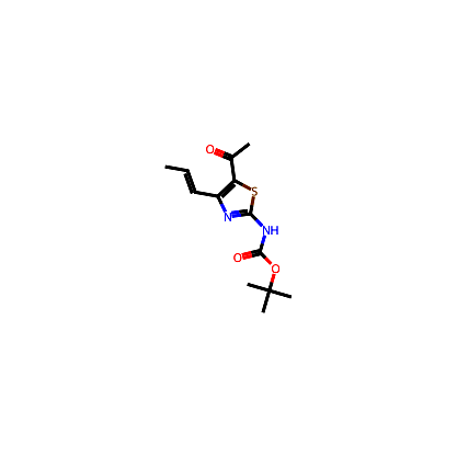 C/C=C/c1nc(NC(=O)OC(C)(C)C)sc1C(C)=O